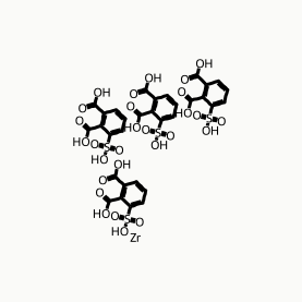 O=C(O)c1cccc(S(=O)(=O)O)c1C(=O)O.O=C(O)c1cccc(S(=O)(=O)O)c1C(=O)O.O=C(O)c1cccc(S(=O)(=O)O)c1C(=O)O.O=C(O)c1cccc(S(=O)(=O)O)c1C(=O)O.[Zr]